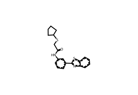 O=C(CSC1CCCC1)Nc1cccc(-c2nc3ccccc3s2)c1